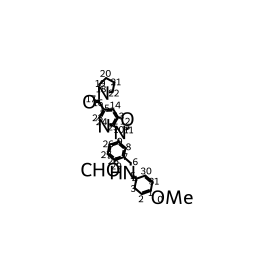 COC1=CCC(NCc2cc(N3COc4cc(C(=O)N5CCCC5)cnc43)ccc2C=O)C=C1